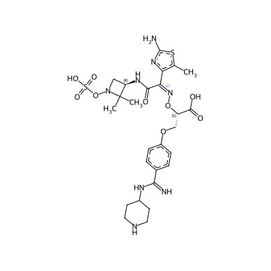 Cc1sc(N)nc1/C(=N/O[C@@H](COc1ccc(C(=N)NC2CCNCC2)cc1)C(=O)O)C(=O)N[C@@H]1CN(OS(=O)(=O)O)C1(C)C